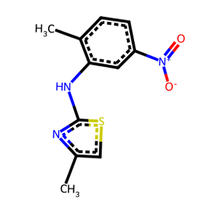 Cc1csc(Nc2cc([N+](=O)[O-])ccc2C)n1